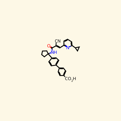 N#C/C(=C\c1cccc(C2CC2)n1)C(=O)NC1(c2ccc(-c3ccc(C(=O)O)cc3)cc2)CCCC1